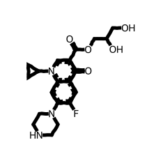 O=C(OCC(O)CO)c1cn(C2CC2)c2cc(N3CCNCC3)c(F)cc2c1=O